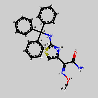 CO/N=C(\C([NH])=O)c1csc(NC(c2ccccc2)(c2ccccc2)c2ccccc2)n1